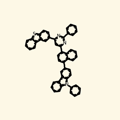 c1ccc(-c2nc(-c3ccc4sc5ccccc5c4c3)cc(-c3ccc(-c4ccc5c(c4)c4ccccc4n5-c4ccccc4)c4ccccc34)n2)cc1